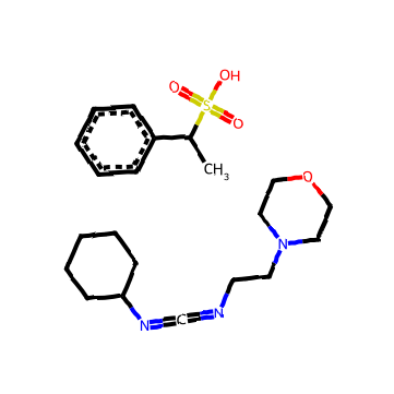 C(=NCCN1CCOCC1)=NC1CCCCC1.CC(c1ccccc1)S(=O)(=O)O